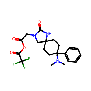 CN(C)C1(c2ccccc2)CCC2(CC1)CN(CC(=O)OC(=O)C(F)(F)F)C(=O)N2